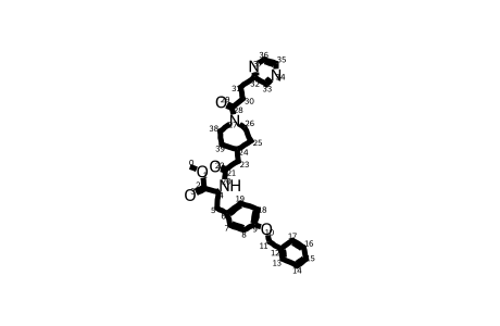 COC(=O)C(Cc1ccc(OCc2ccccc2)cc1)NC(=O)CC1CCN(C(=O)CCc2cnccn2)CC1